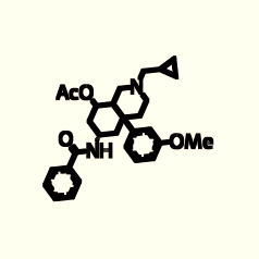 COc1cccc(C23CCN(CC4CC4)CC2C(OC(C)=O)C[C@@H](NC(=O)c2ccccc2)C3)c1